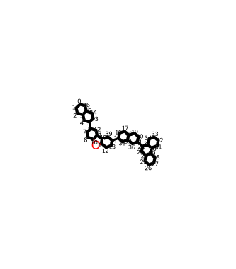 c1ccc2cc(-c3ccc4oc5ccc(-c6ccc7ccc(-c8cc9ccccc9c9ccccc89)cc7c6)cc5c4c3)ccc2c1